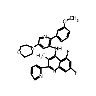 COc1cccc(-c2ncc(N3CCOCC3)cc2Nc2c(C)c(-c3ccccn3)nc3cc(F)cc(F)c23)c1